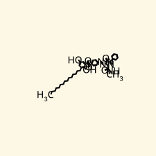 CCCCCCCCCCCCCCCc1cc(O)cc(S(=O)(=O)c2ccc(N=NC3C(=O)N(c4ccccc4)N=C3C(=O)NC)cc2)c1O